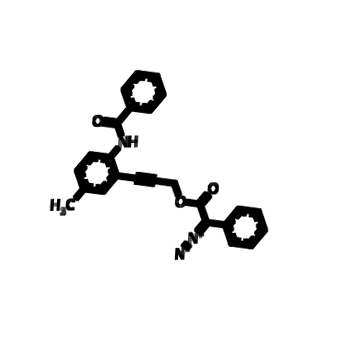 Cc1ccc(NC(=O)c2ccccc2)c(C#CCOC(=O)C(=[N+]=[N-])c2ccccc2)c1